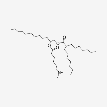 CCCCCCCCCCC(COC(=O)C(CCCCCCC)CCCCCCC)OC(=O)CCCCCN(C)C